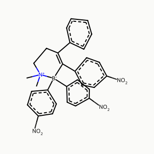 C[N+]1(C)CCC(c2ccccc2)=C(c2ccc([N+](=O)[O-])cc2)[B-]1(c1ccc([N+](=O)[O-])cc1)c1ccc([N+](=O)[O-])cc1